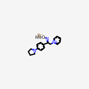 CON=C(C[n+]1ccccc1)c1ccc(N2CCCC2)cc1.[Br-]